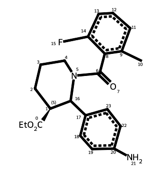 CCOC(=O)[C@H]1CCCN(C(=O)c2c(C)cccc2F)C1c1ccc(N)cc1